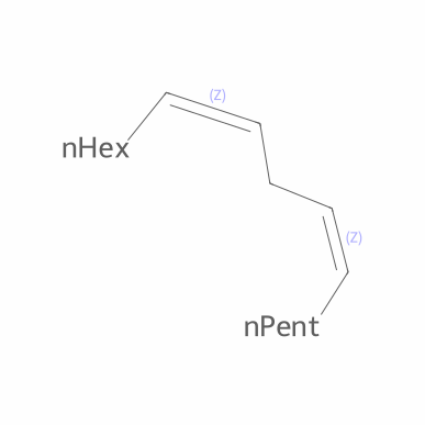 [CH2]CCCCC/C=C\C/C=C\CCCCC